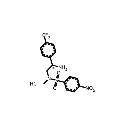 CN(C[C@H](N)c1ccc(C(F)(F)F)cc1)S(=O)(=O)c1ccc([N+](=O)[O-])cc1.Cl